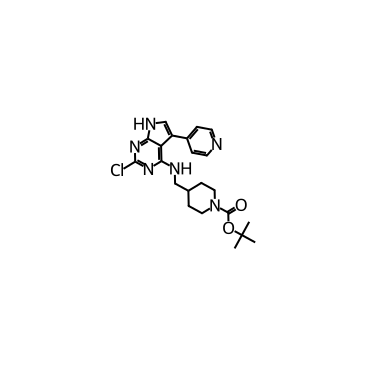 CC(C)(C)OC(=O)N1CCC(CNc2nc(Cl)nc3[nH]cc(-c4ccncc4)c23)CC1